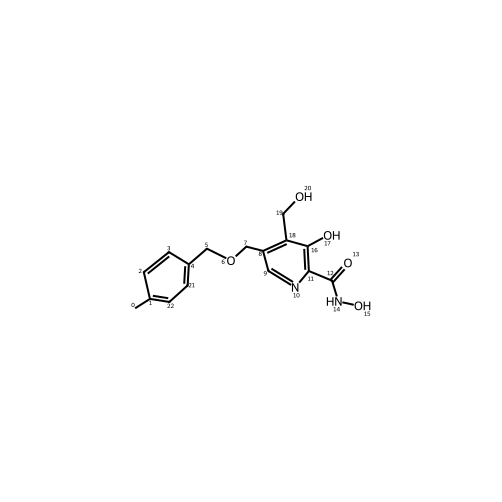 Cc1ccc(COCc2cnc(C(=O)NO)c(O)c2CO)cc1